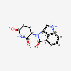 O=C1CCC(N2C(=O)c3cccc4[nH]cc2c34)C(=O)N1